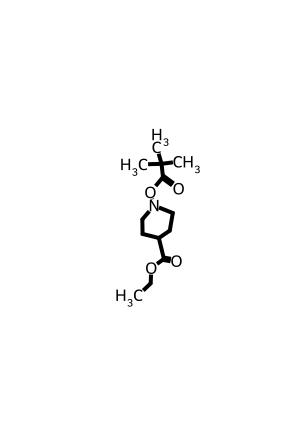 CCOC(=O)C1CCN(OC(=O)C(C)(C)C)CC1